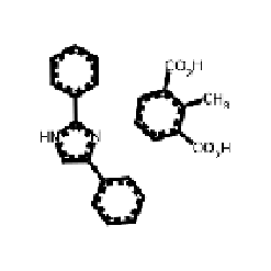 Cc1c(C(=O)O)cccc1C(=O)O.c1ccc(-c2c[nH]c(-c3ccccc3)n2)cc1